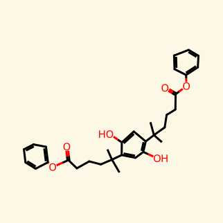 CC(C)(CCCC(=O)Oc1ccccc1)c1cc(O)c(C(C)(C)CCCC(=O)Oc2ccccc2)cc1O